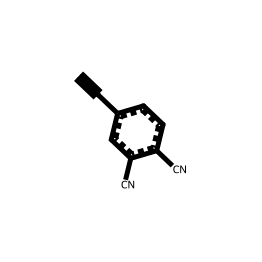 C#Cc1ccc(C#N)c(C#N)c1